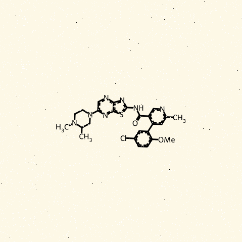 COc1ccc(Cl)cc1-c1cc(C)ncc1C(=O)Nc1nc2ncc(N3CCN(C)C(C)C3)nc2s1